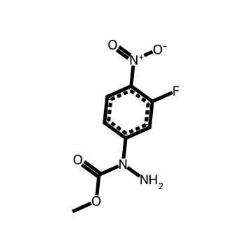 COC(=O)N(N)c1ccc([N+](=O)[O-])c(F)c1